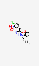 CCC[C@H](NC(=O)/C(C#N)=C/c1ccc(Cl)c([N+](=O)[O-])c1)c1ccccc1